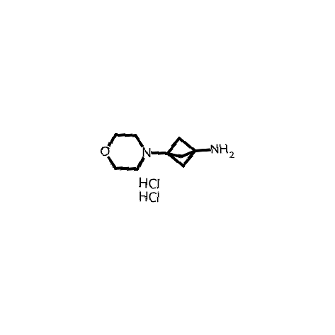 Cl.Cl.NC12CC(N3CCOCC3)(C1)C2